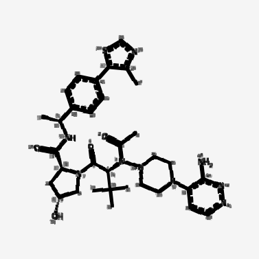 CC(=O)N([C@H](C(=O)N1C[C@H](O)C[C@H]1C(=O)N[C@@H](C)c1ccc(-c2scnc2C)cc1)C(C)(C)C)N1CCN(c2ccnnc2N)CC1